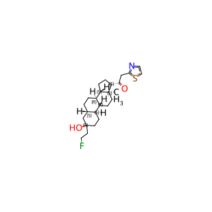 C[C@]12CC[C@H]3[C@@H](CC[C@H]4C[C@@](O)(CCF)CC[C@@H]43)[C@@H]1CC[C@@H]2C(=O)Cc1nccs1